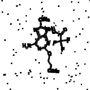 COCCOc1nc(N)c2nc(OC)[nH]c2n1.O=C(O)C(F)(F)F